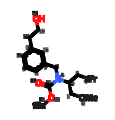 COC[C@H](CC(C)C)N(Cc1cccc(CCO)c1)C(=O)OC(C)(C)C